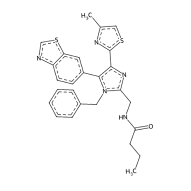 CCCC(=O)NCc1nc(-c2nc(C)cs2)c(-c2ccc3ncsc3c2)n1Cc1ccccc1